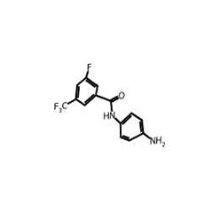 Nc1ccc(NC(=O)c2cc(F)cc(C(F)(F)F)c2)cc1